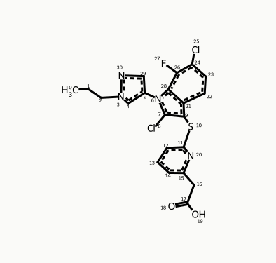 CCCn1cc(-n2c(Cl)c(Sc3cccc(CC(=O)O)n3)c3ccc(Cl)c(F)c32)cn1